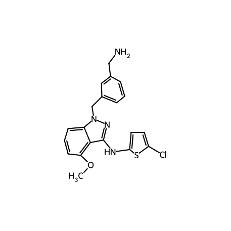 COc1cccc2c1c(Nc1ccc(Cl)s1)nn2Cc1cccc(CN)c1